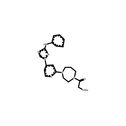 COCC(=O)N1CCCN(c2cc(-n3cnc(Nc4ccccc4)n3)ccn2)CC1